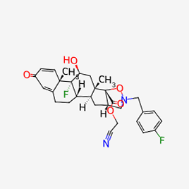 C[C@]12C=CC(=O)C=C1CC[C@H]1[C@@H]3C[C@H]4CN(Cc5ccc(F)cc5)O[C@@]4(C(=O)OCC#N)[C@@]3(C)C[C@H](O)[C@@]12F